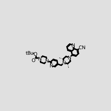 C[C@@H]1CN(c2ccc(C#N)c3ncccc23)C[C@H](C)N1Cc1ccc(N2CCN(C(=O)OC(C)(C)C)CC2)nc1